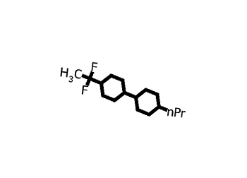 CCCC1CCC(C2CCC(C(C)(F)F)CC2)CC1